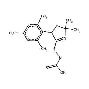 Cc1cc(C)c(C2CC(C)(C)N=C2OOC(O)=S)c(C)c1